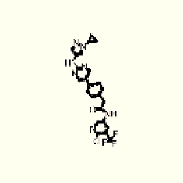 O=C(Cc1ccc(-c2cnc(Nc3cnn(C4CC4)c3)nc2)cc1)Nc1cnc(Cl)c(C(F)(F)F)c1